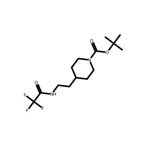 CC(C)(C)OC(=O)N1CCC(CCNC(=O)C(F)(F)F)CC1